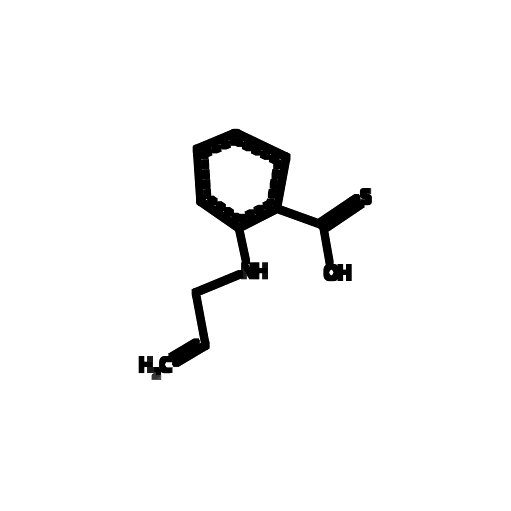 C=CCNc1ccccc1C(O)=S